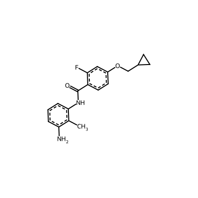 Cc1c(N)cccc1NC(=O)c1ccc(OCC2CC2)cc1F